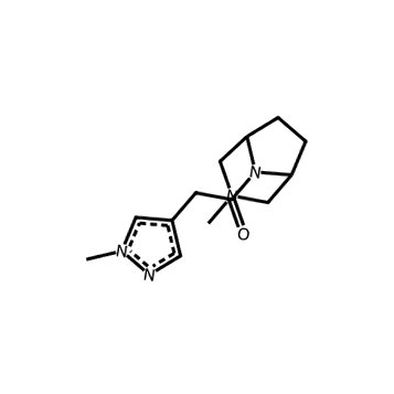 CN1CC2CCC(C1)N2C(=O)Cc1cnn(C)c1